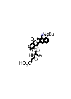 C=C1OCc2c(cc3n(c2=O)Cc2c-3cc3ccccc3c2/C=N\OC(C)(C)C)[C@]1(CC)OC(=O)C(NC(=O)CCC(=O)O)C(C)C